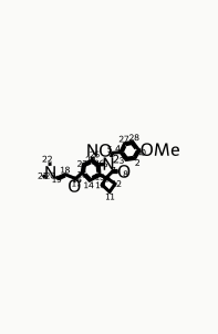 COc1ccc(CN2C(=O)C3(CCC3)c3cc(C(=O)/C=C/N(C)C)cc([N+](=O)[O-])c32)cc1